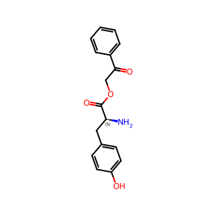 N[C@@H](Cc1ccc(O)cc1)C(=O)OCC(=O)c1ccccc1